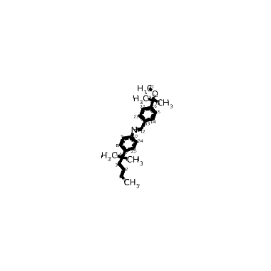 CCCCC(C)(C)c1ccc(/N=C/c2ccc(C(C)(C)OC)cc2)cc1